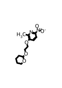 Cc1nc([N+](=O)[O-])ccc1OCCOC1CCCCO1